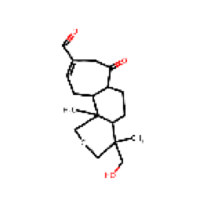 CC1(CO)CCCC2(C)C3CC=C(C=O)CC(=O)C3CCC12